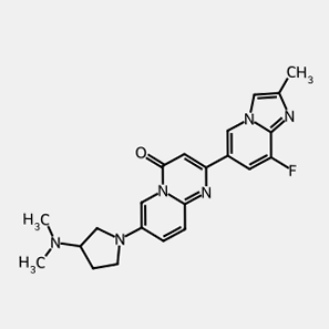 Cc1cn2cc(-c3cc(=O)n4cc(N5CCC(N(C)C)C5)ccc4n3)cc(F)c2n1